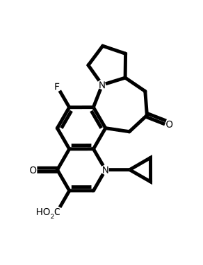 O=C1Cc2c(c(F)cc3c(=O)c(C(=O)O)cn(C4CC4)c23)N2CCCC2C1